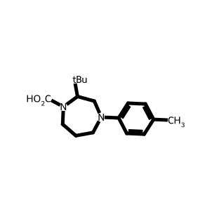 Cc1ccc(N2CCCN(C(=O)O)C(C(C)(C)C)C2)cc1